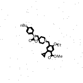 CCCCc1ccc(N2CC3(CCN(Cc4cc(C5CC5)c(C(=O)OC)cc4OCC)CC3)OC2=O)cc1